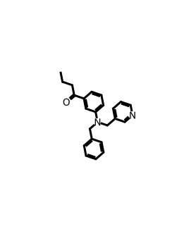 CCCC(=O)c1cccc(N(Cc2ccccc2)Cc2cccnc2)c1